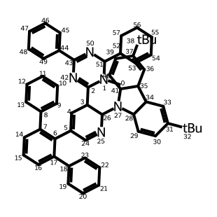 CN1C(C2C=C(c3c(-c4ccccc4)cccc3-c3ccccc3)C=NC2N2C3C=CC(C(C)(C)C)=CC3C3C=C(C(C)(C)C)C=CC32)=NC(c2ccccc2)=NC1C1C=CCCC1